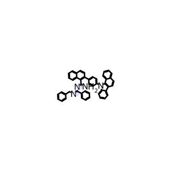 N/C(=N\C(=N/Cc1ccccc1)c1ccccc1)c1c(-c2ccc(-n3c4ccccc4c4ccc5ccccc5c43)cc2)ccc2ccccc12